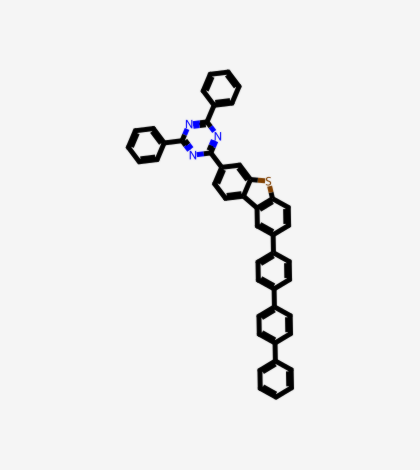 c1ccc(-c2ccc(-c3ccc(-c4ccc5sc6cc(-c7nc(-c8ccccc8)nc(-c8ccccc8)n7)ccc6c5c4)cc3)cc2)cc1